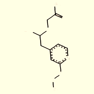 CC(C)SSc1cc(CC(C)SCC(=O)C(C)(C)C)ccn1